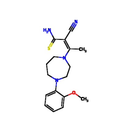 COc1ccccc1N1CCCN(C(C)=C(C#N)C(N)=S)CC1